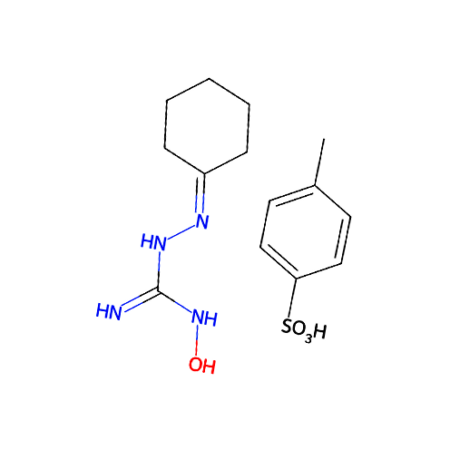 Cc1ccc(S(=O)(=O)O)cc1.N=C(NO)NN=C1CCCCC1